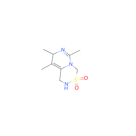 CC1=NC(C)C(C)=C2CNS(=O)(=O)CN12